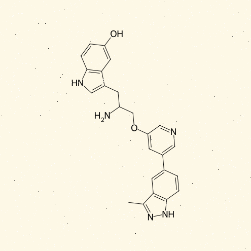 Cc1n[nH]c2ccc(-c3cncc(OCC(N)Cc4c[nH]c5ccc(O)cc45)c3)cc12